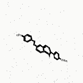 CCCc1ccc(CCc2ccc3c(F)c(-c4ccc(OC)cc4)ccc3c2)cc1